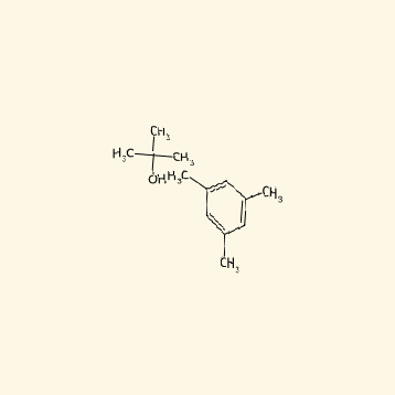 CC(C)(C)O.Cc1cc(C)cc(C)c1